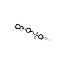 Cc1ccc(S(=O)(=O)OCc2ccc(-c3cc4ccccc4o3)cc2)cc1